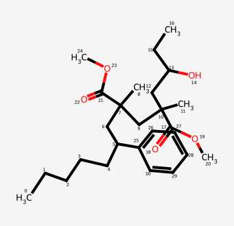 CCCCCC(CC(C)(CC(C)(CC(O)CC)C(=O)OC)C(=O)OC)c1ccccc1